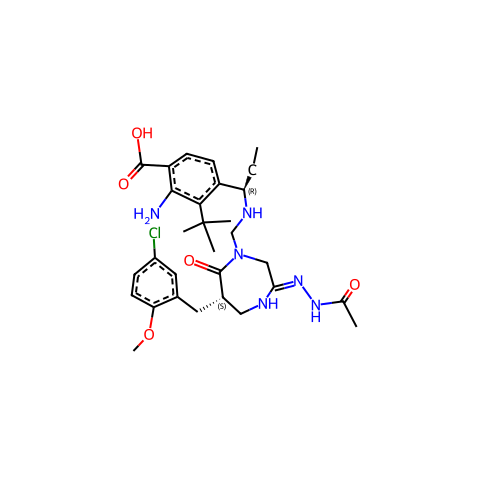 CC[C@@H](NCN1CC(=NNC(C)=O)NC[C@H](Cc2cc(Cl)ccc2OC)C1=O)c1ccc(C(=O)O)c(N)c1C(C)(C)C